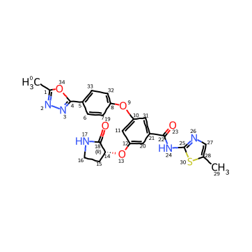 Cc1nnc(-c2ccc(Oc3cc(O[C@@H]4CCNC4=O)cc(C(=O)Nc4ncc(C)s4)c3)cc2)o1